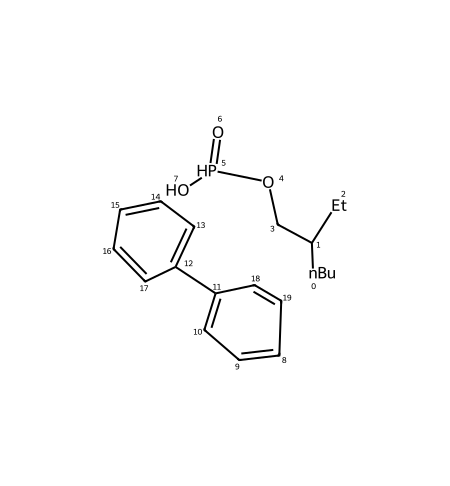 CCCCC(CC)CO[PH](=O)O.c1ccc(-c2ccccc2)cc1